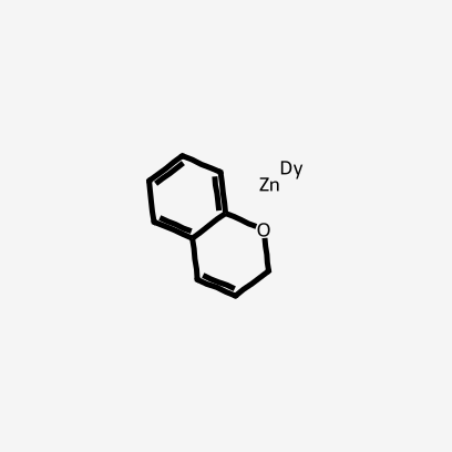 C1=Cc2ccccc2OC1.[Dy].[Zn]